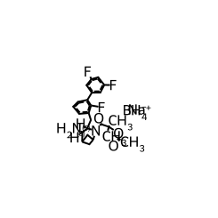 CC(=O)OC(C)(C)C(=O)N1C2CC(C2)[C@H](N)[C@@H]1Cc1cccc(-c2cc(F)cc(F)c2)c1F.[BH4-].[Na+]